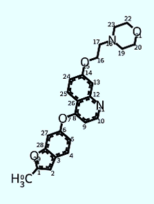 Cc1cc2ccc(Oc3ccnc4cc(OCCN5CCOCC5)ccc34)cc2o1